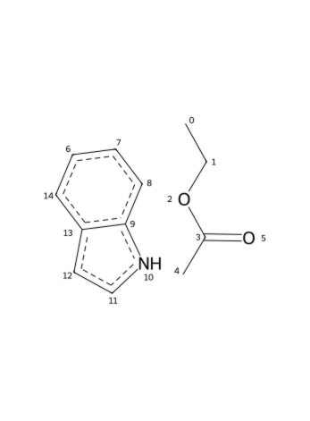 CCOC(C)=O.c1ccc2[nH]ccc2c1